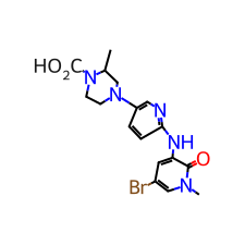 CC1CN(c2ccc(Nc3cc(Br)cn(C)c3=O)nc2)CCN1C(=O)O